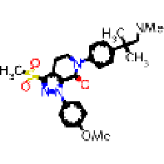 CNCC(C)(C)c1ccc(N2CCc3c(S(C)(=O)=O)nn(-c4ccc(OC)cc4)c3C2=O)cc1